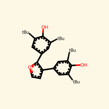 CC(C)(C)c1cc(-c2ccoc2-c2cc(C(C)(C)C)c(O)c(C(C)(C)C)c2)cc(C(C)(C)C)c1O